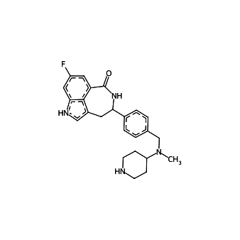 CN(Cc1ccc(C2Cc3c[nH]c4cc(F)cc(c34)C(=O)N2)cc1)C1CCNCC1